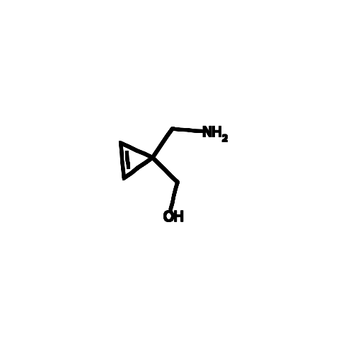 NCC1(CO)C=C1